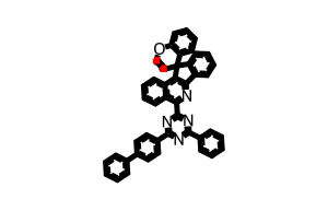 c1ccc(-c2ccc(-c3nc(-c4ccccc4)nc(-c4nc5c(c6ccccc46)C4(c6ccccc6Oc6ccccc64)c4ccccc4-5)n3)cc2)cc1